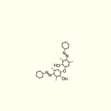 Cc1cc(Oc2cc(C)c(N=Nc3ccccc3)c(C)c2O)c(O)c(C)c1N=Nc1ccccc1